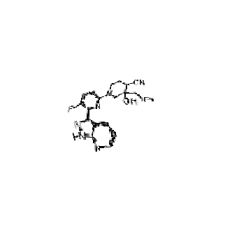 CC(C)CC1(O)CN(c2ccc(F)c(-c3n[nH]c4ncccc34)n2)CCC1C#N